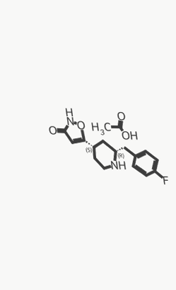 CC(=O)O.O=c1cc([C@H]2CCN[C@@H](Cc3ccc(F)cc3)C2)o[nH]1